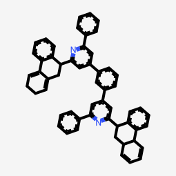 C1=CC2CC(c3cc(-c4cccc(-c5cc(-c6ccccc6)nc(C6CC7=CCCC=C7c7ccccc76)c5)c4)cc(-c4ccccc4)n3)c3ccccc3C2C=C1